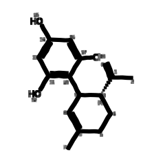 C=C(C)[C@@H]1CCC(C)=CC1c1c(O)cc(O)cc1Cl